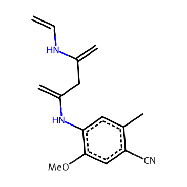 C=CNC(=C)CC(=C)Nc1cc(C)c(C#N)cc1OC